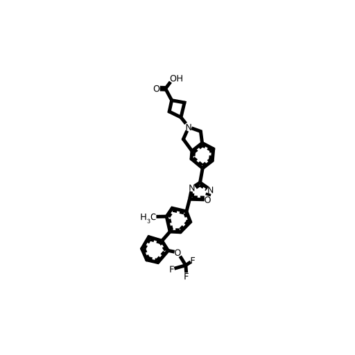 Cc1cc(-c2nc(-c3ccc4c(c3)CN(C3CC(C(=O)O)C3)C4)no2)ccc1-c1ccccc1OC(F)(F)F